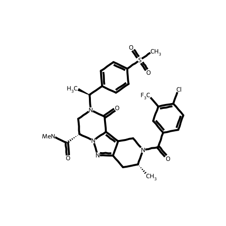 CNC(=O)[C@@H]1CN([C@@H](C)c2ccc(S(C)(=O)=O)cc2)C(=O)c2c3c(nn21)C[C@@H](C)N(C(=O)c1ccc(Cl)c(C(F)(F)F)c1)C3